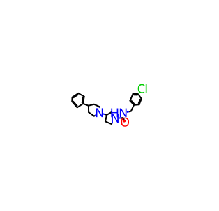 O=C(NCc1ccc(Cl)cc1)N1CCC(N2CCC(c3ccccc3)CC2)C1